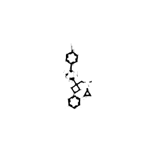 CN(CC1(c2noc(-c3ccc(F)cc3)n2)CCC1)C1C[C@@H]1c1ccccc1